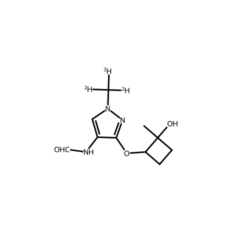 [2H]C([2H])([2H])n1cc(NC=O)c(OC2CCC2(C)O)n1